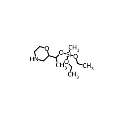 CCO[Si](C)(OCC)OC(C)C1CNCCO1